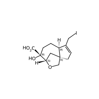 O=C(O)[C@@]1(O)CC[C@H]2C(CI)=CC[C@@]23CO[C@H]1C3